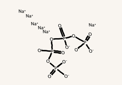 O=P([O-])([O-])OP(=O)([O-])OP(=O)([O-])OP(=O)([O-])[O-].[Na+].[Na+].[Na+].[Na+].[Na+].[Na+]